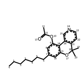 CCCCCCCc1cc(OC(C)=O)c2c(c1)OC(C)(C)c1ccncc1-2